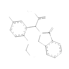 COCOc1ccc(F)cc1C(C(=O)OC)N1Cc2ccccc2C1=O